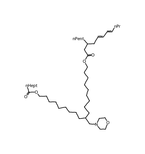 CCC/C=C/C=C/CC(CCCCC)CC(=O)OCCCCCCCCCC(CCCCCCCCCOC(=O)CCCCCCC)CN1CCOCC1